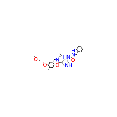 COCCCOc1cc(CN(C(=O)[C@@H]2CNC[C@H](NC(=O)NCc3ccccc3)C2)C2CC2)ccc1C